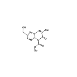 CC(C)(C)OC(=O)N(C(=O)OC(C)(C)C)c1ncc(CO)nc1C#N